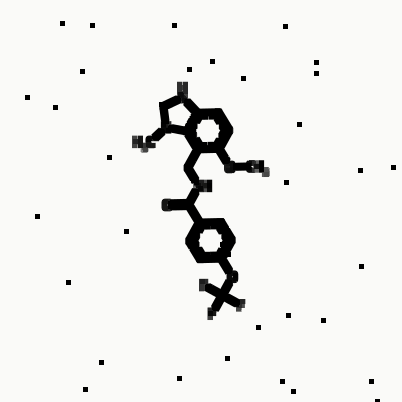 COc1ccc2c(c1CNC(=O)c1ccc(OC(F)(F)F)cc1)N(C)CN2